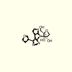 OC[C@H]1OC[C@H](O)[C@@]1(O)n1c2ncnc(-c3ccoc3)c2c2ccsc21